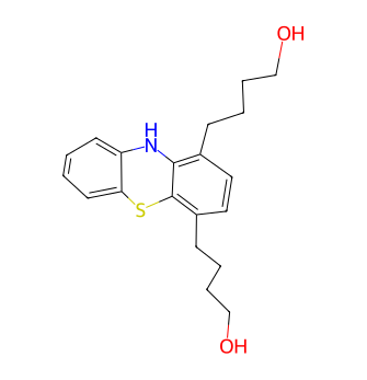 OCCCCc1ccc(CCCCO)c2c1Nc1ccccc1S2